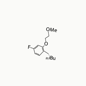 CC[C@@H](C)Cc1ccc(F)cc1OCCOC